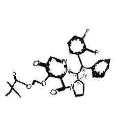 CC(C)(C)C(=O)OCOc1c2n(ncc1=O)[C@@H]([C@H](c1ccccc1)c1cccc(F)c1F)[C@H]1CCCN1C2=O